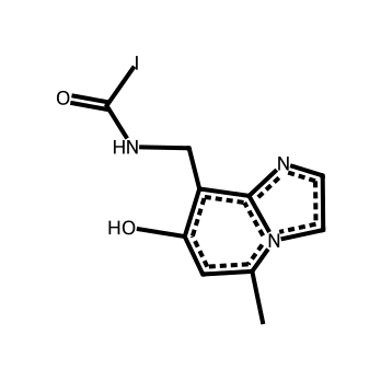 Cc1cc(O)c(CNC(=O)I)c2nccn12